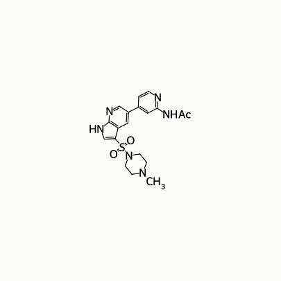 CC(=O)Nc1cc(-c2cnc3[nH]cc(S(=O)(=O)N4CCN(C)CC4)c3c2)ccn1